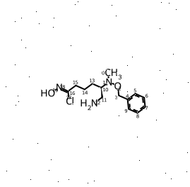 CN(OCc1ccccc1)[C@@H](CN)CCC/C(Cl)=N/O